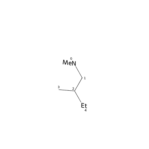 [CH2]NCC(C)CC